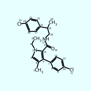 CCn1cc(C)c(-c2ccc(Cl)cc2)c1C(=O)NCC(C)c1ccc(Cl)cc1